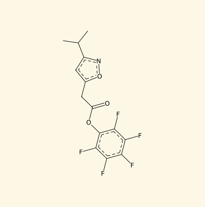 CC(C)c1cc(CC(=O)Oc2c(F)c(F)c(F)c(F)c2F)on1